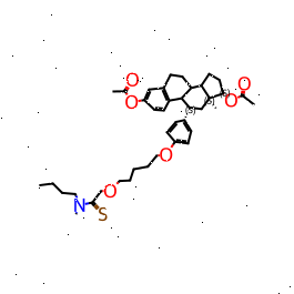 CCCCN(C)C(=S)COCCCCCOc1ccc([C@H]2C[C@@]3(C)C(CC[C@@H]3OC(C)=O)C3CCc4cc(OC(C)=O)ccc4C32)cc1